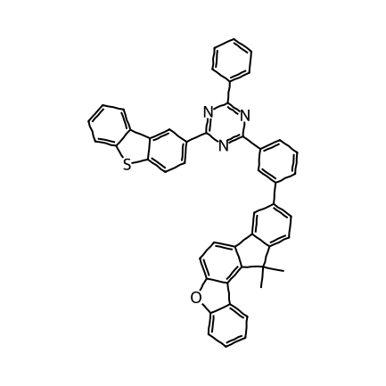 CC1(C)c2ccc(-c3cccc(-c4nc(-c5ccccc5)nc(-c5ccc6sc7ccccc7c6c5)n4)c3)cc2-c2ccc3oc4ccccc4c3c21